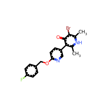 Cc1[nH]c(C)c(-c2ccc(OCc3ccc(F)cc3)nc2)c(=O)c1Br